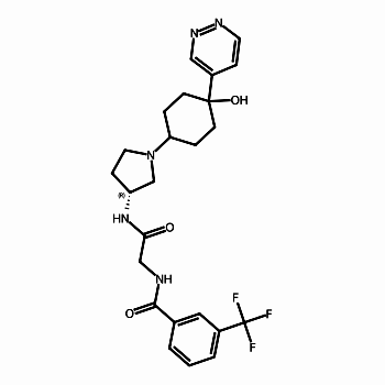 O=C(CNC(=O)c1cccc(C(F)(F)F)c1)N[C@@H]1CCN(C2CCC(O)(c3ccnnc3)CC2)C1